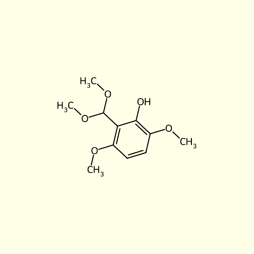 COc1ccc(OC)c(C(OC)OC)c1O